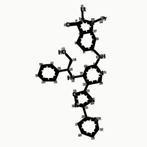 CCn1c(=O)c2ccc(Nc3cc(N[C@H](CO)c4ccccc4)c(-c4nc(-c5ccccn5)no4)cn3)cc2n1C(C)C